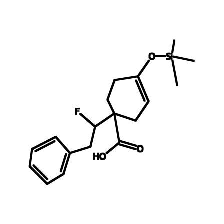 C[Si](C)(C)OC1=CCC(C(=O)O)(C(F)Cc2ccccc2)CC1